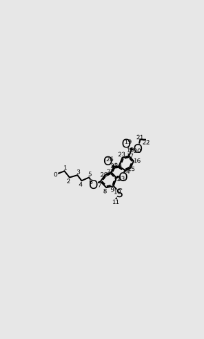 CCCCCCOc1cc(SC)c2oc3ccc(C(=O)OCC)cc3c(=O)c2c1